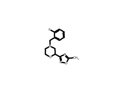 Cc1nc(C2CN(Cc3ccccc3F)CCO2)no1